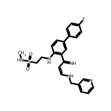 CNS(=O)(=O)CCNc1ccc(-c2ccc(F)cc2)cc1C(=N)/C=C\NCc1cccnc1